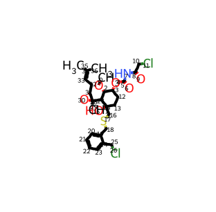 COC1C(OC(=O)NC(=O)CCl)CCC(O)(CSCc2ccccc2CCl)C1C1(C)OC1CC=C(C)C